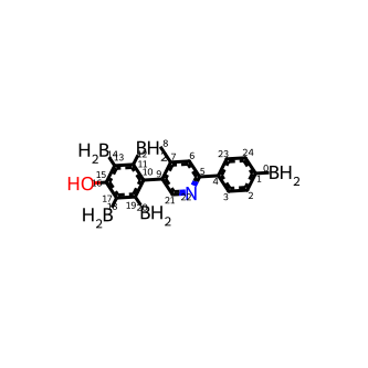 Bc1ccc(-c2cc(C)c(-c3c(B)c(B)c(O)c(B)c3B)cn2)cc1